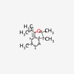 CCC(C)c1ccc(C)cc1C(=O)C(C)C